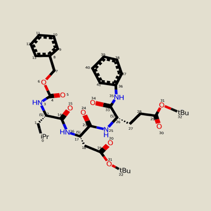 CC(C)C[C@H](NC(=O)OCc1ccccc1)C(=O)N[C@@H](CC(=O)OC(C)(C)C)C(=O)N[C@@H](CCC(=O)OC(C)(C)C)C(=O)Nc1ccccc1